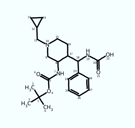 CC(C)(C)OC(=O)NC1CN(CC2CC2)CCC1[C](NC(=O)O)c1ccccc1